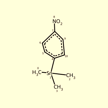 [CH3][Sn]([CH3])([CH3])[c]1ccc([N+](=O)[O-])cc1